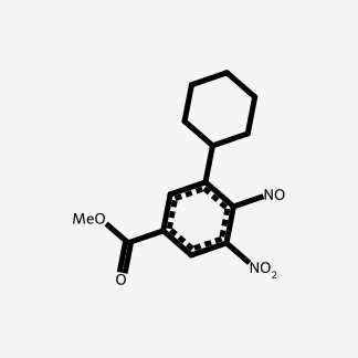 COC(=O)c1cc(C2CCCCC2)c(N=O)c([N+](=O)[O-])c1